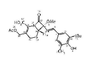 CO[C@@]1(N=Cc2cc(C)c(O)c(C(C)(C)C)c2)C(=O)N2C(C(=O)O)=C(COC(C)=O)CS[C@H]21